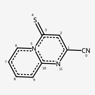 N#Cc1cc(=S)n2ccccc2n1